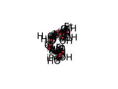 CCNC(=O)c1nnc(-c2cc(C(C)C)c(O)cc2O)n1-c1ccc(CN2CCN(C(=O)CCC(=O)N[C@@H](C)C(=O)N3CCN(Cc4ccc(-n5c(C(=O)NCC)nnc5-c5cc(C(C)C)c(O)cc5O)cc4)CC3)CC2)cc1